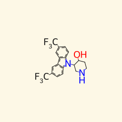 OC1CCNCC1n1c2ccc(C(F)(F)F)cc2c2cc(C(F)(F)F)ccc21